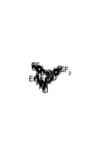 CCN(CC)c1nc2nc(Cl)nc(N3CCN(S(=O)(=O)c4ccc(OC(F)(F)F)cc4)[C@@H](C(=O)NCc4ccc(OC(F)(F)F)cc4)C3)c2s1